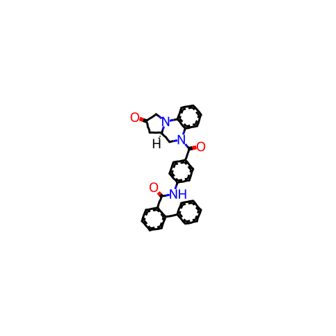 O=C1C[C@@H]2CN(C(=O)c3ccc(NC(=O)c4ccccc4-c4ccccc4)cc3)c3ccccc3N2C1